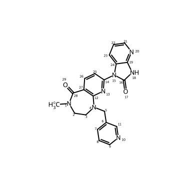 CN1CCN(Cc2cccnc2)c2nc(-n3c(=O)[nH]c4ncccc43)ccc2C1=O